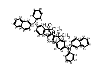 CC1(C)c2cc(N(c3ccccc3)c3ccc4ccccc4c3)ccc2-c2sc3c(c21)C(C)(C)c1cc(N(c2ccccc2)c2ccc4ccccc4c2)ccc1-3